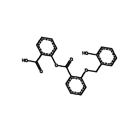 O=C(O)c1ccccc1OC(=O)c1ccccc1OCc1ccccc1O